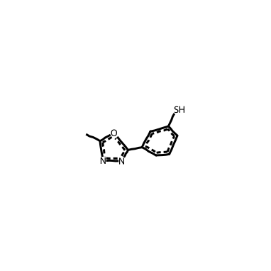 Cc1nnc(-c2cccc(S)c2)o1